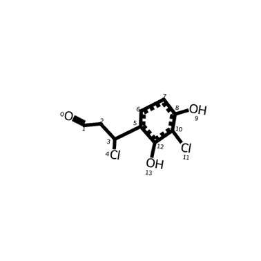 O=CCC(Cl)c1ccc(O)c(Cl)c1O